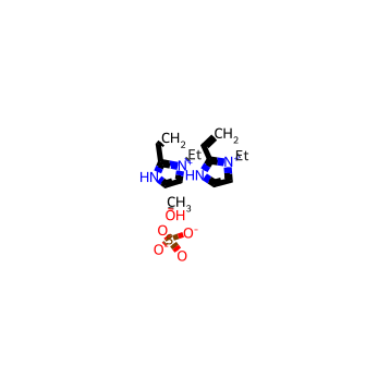 C=Cc1[nH]cc[n+]1CC.C=Cc1[nH]cc[n+]1CC.CO.O=S(=O)([O-])[O-]